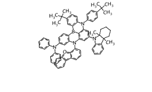 CC(C)(C)c1ccc(N2c3ccc(C(C)(C)C)cc3B3c4ccc(N(c5ccccc5)c5ccccc5)cc4N(c4cccc5c4oc4ccccc45)c4cc(N5c6ccccc6C6(C)CCCCC56C)cc2c43)cc1